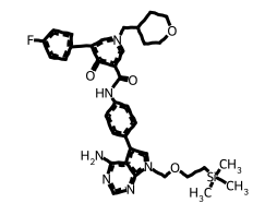 C[Si](C)(C)CCOCn1cc(-c2ccc(NC(=O)c3cn(CC4CCOCC4)cc(-c4ccc(F)cc4)c3=O)cc2)c2c(N)ncnc21